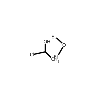 CC(O)Cl.CCOCC